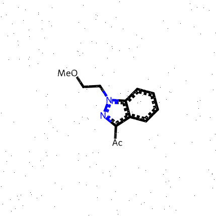 COCCn1nc(C(C)=O)c2ccccc21